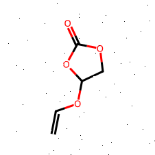 C=COC1COC(=O)O1